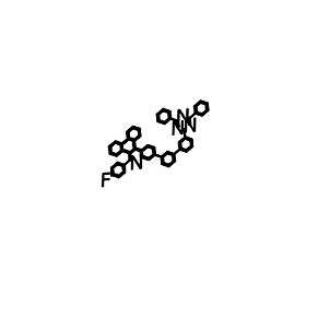 Fc1ccc(-c2nc3cc(-c4cccc(-c5cccc(-c6nc(-c7ccccc7)nc(-c7ccccc7)n6)c5)c4)ccc3c3c4ccccc4c4ccccc4c23)cc1